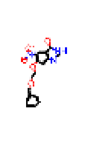 O=c1[nH]cnc2cc(OCCOCc3ccccc3)c([N+](=O)[O-])cc12